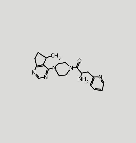 CC1CCc2ncnc(N3CCN(C(=O)C(N)Cc4ccccn4)CC3)c21